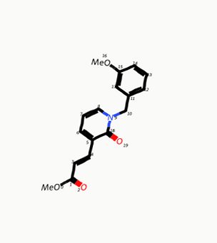 COC(=O)/C=C/c1cccn(Cc2cccc(OC)c2)c1=O